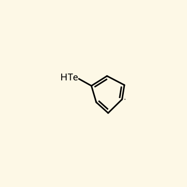 [TeH]c1cc[c]cc1